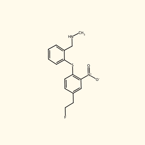 CNCc1ccccc1Sc1ccc(CCF)cc1[N+](=O)[O-]